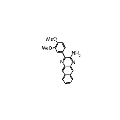 COc1ccc(-c2nc3cc4ccccc4cc3nc2N)cc1OC